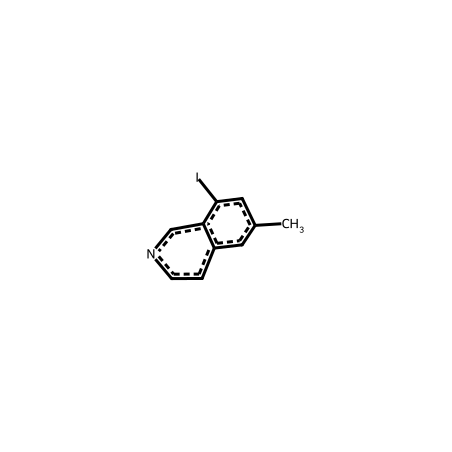 Cc1cc(I)c2cnccc2c1